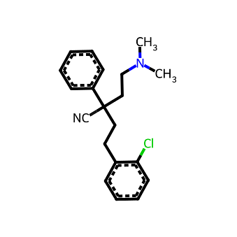 CN(C)CCC(C#N)(CCc1ccccc1Cl)c1ccccc1